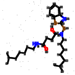 CC(C)CCCCCNC(=O)CCC(=O)N(CCCCCC(C)C)Sc1nc2ccccc2s1